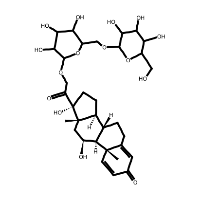 C[C@]12C=CC(=O)C=C1CC[C@@H]1[C@@H]2[C@@H](O)C[C@@]2(C)[C@H]1CC[C@]2(O)C(=O)COC1OC(COC2OC(CO)C(O)C(O)C2O)C(O)C(O)C1O